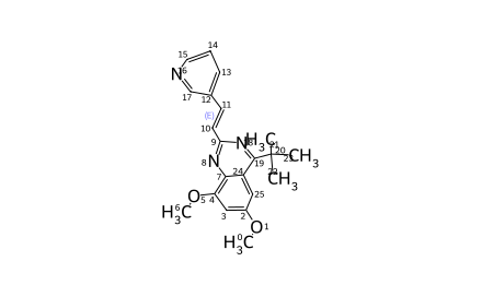 COc1cc(OC)c2nc(/C=C/c3cccnc3)nc(C(C)(C)C)c2c1